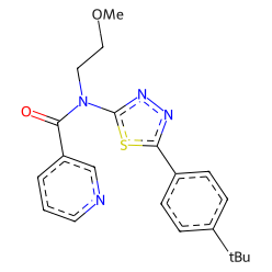 COCCN(C(=O)c1cccnc1)c1nnc(-c2ccc(C(C)(C)C)cc2)s1